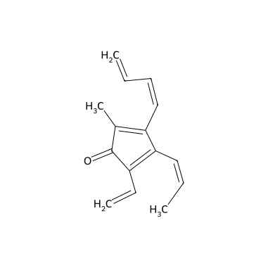 C=C/C=C\C1=C(C)C(=O)C(C=C)=C1/C=C\C